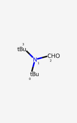 CC(C)(C)N(C=O)C(C)(C)C